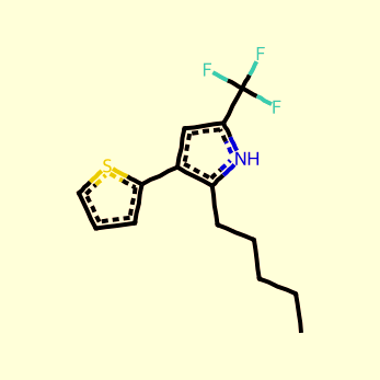 CCCCCc1[nH]c(C(F)(F)F)cc1-c1cccs1